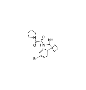 N=C(NC(=O)C(=O)N1CCCC1)C1(c2ccc(Br)cc2)CCC1